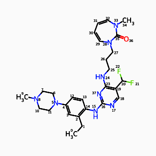 CCc1cc(N2CCN(C)CC2)ccc1Nc1ncc(C(F)F)c(NCCCN2C=CC=CN(C)C2=O)n1